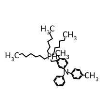 CCCCCCC[PH](CCCCCC)(CCCCCC)Cc1cc(N(c2ccccc2)c2ccc(C)cc2)ccc1C